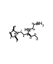 C=c1ccc(=C)n1CCC(=CCC)NCCN